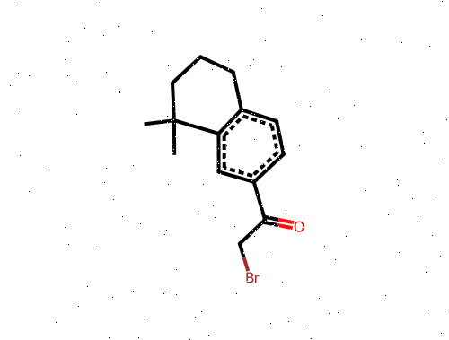 CC1(C)CCCc2ccc(C(=O)CBr)cc21